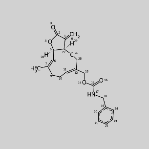 C=C1C(=O)O[C@@H]2/C=C(\C)CC/C=C(\COC(=O)NCc3ccccc3)CC[C@H]12